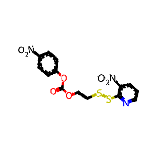 O=C(OCCSSc1ncccc1[N+](=O)[O-])Oc1ccc([N+](=O)[O-])cc1